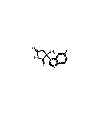 BC1(c2c[nH]c3ccc(F)cc23)CC(=O)NC1=O